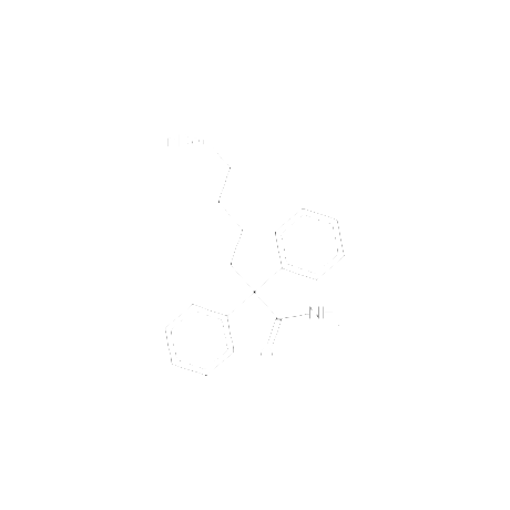 CCCCCCCCCCCCCCC(C(N)=O)(c1ccccc1)c1ccccc1